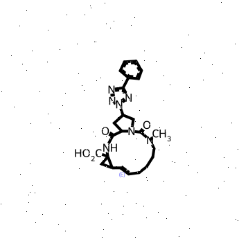 CN1CCCC/C=C/C2CC2(C(=O)O)NC(=O)C2CC(n3nnc(-c4ccccc4)n3)CN2C1=O